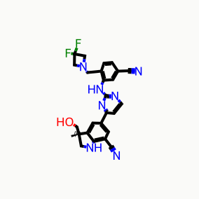 C[C@]1(CO)CNc2c(C#N)cc(-c3ccnc(Nc4cc(C#N)ccc4CN4CC(F)(F)C4)n3)cc21